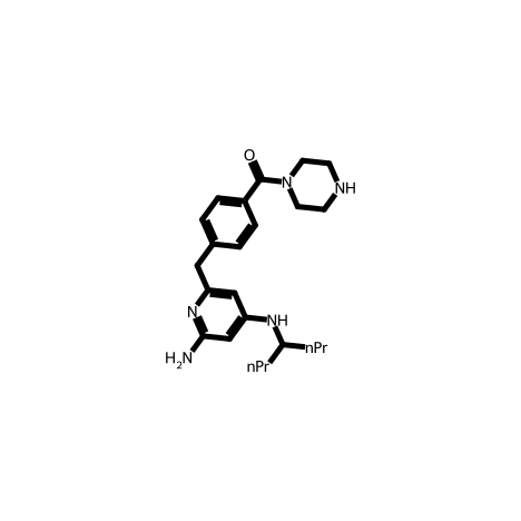 CCCC(CCC)Nc1cc(N)nc(Cc2ccc(C(=O)N3CCNCC3)cc2)c1